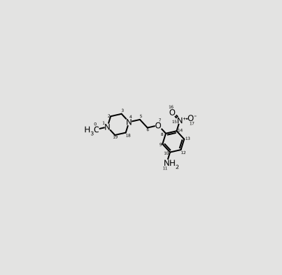 CN1CCN(CCOc2cc(N)ccc2[N+](=O)[O-])CC1